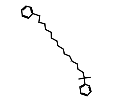 CC(C)(CCC[CH]CCCCCCCCCCCc1ccccc1)c1ccccc1